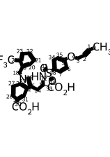 CC#CCOc1ccc(S(=O)(=O)N[C@@H](Cc2cn(Cc3ccccc3C(F)(F)F)c3ccc(C(=O)O)cc23)C(=O)O)cc1